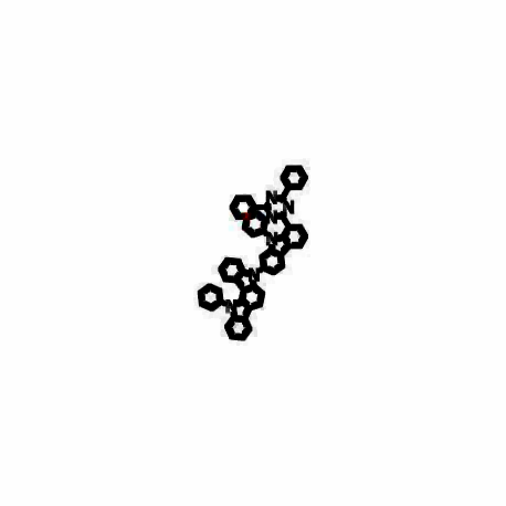 c1ccc(-c2nc(-c3ccccc3)nc(-c3cccc4c5ccc(-n6c7ccccc7c7c6ccc6c8ccccc8n(-c8ccccc8)c67)cc5n(-c5ccccc5)c34)n2)cc1